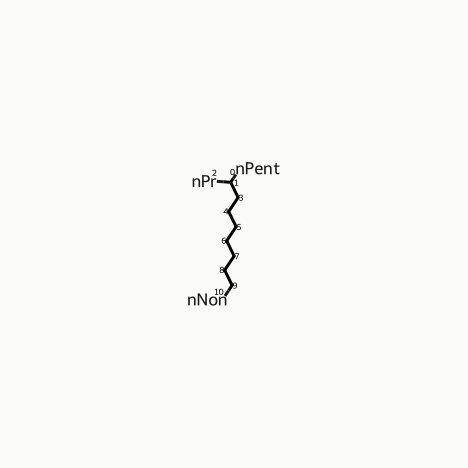 [CH2]CCCCC(CCC)CCCCCCCCCCCCCCCC